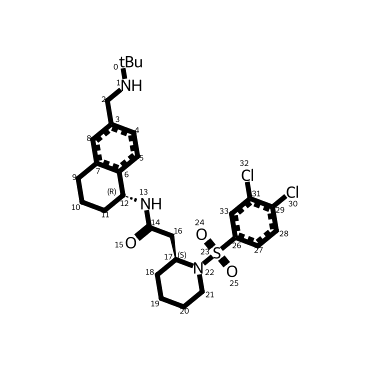 CC(C)(C)NCc1ccc2c(c1)CCC[C@H]2NC(=O)C[C@@H]1CCCCN1S(=O)(=O)c1ccc(Cl)c(Cl)c1